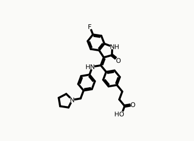 O=C(O)CCc1ccc(C(Nc2ccc(CN3CCCC3)cc2)=C2C(=O)Nc3cc(F)ccc32)cc1